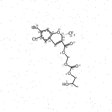 CC(O)COC(=O)OCOC(=O)C1=Cc2cc(Cl)c(C(C)(C)C)cc2O[C@@H]1C(F)(F)F